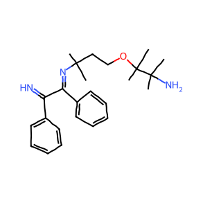 CC(C)(CCOC(C)(C)C(C)(C)N)/N=C(/C(=N)c1ccccc1)c1ccccc1